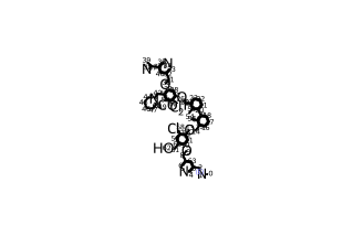 C/N=C/c1cncc(COc2cc(OCc3cccc(-c4cccc(COc5cc(OCc6cncc(C7=NC7)c6)c(CN6CCCC[C@H]6C(=O)O)cc5Cl)c4C)c3C)c(Cl)cc2CO)c1